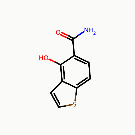 NC(=O)c1ccc2sccc2c1O